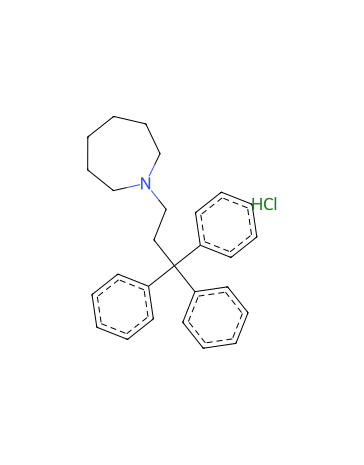 Cl.c1ccc(C(CCN2CCCCCC2)(c2ccccc2)c2ccccc2)cc1